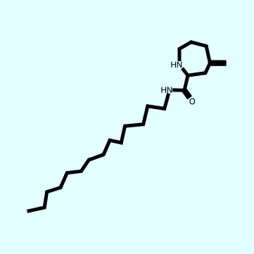 C=C1CCCNC(C(=O)NCCCCCCCCCCCCCC)C1